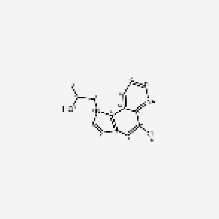 CC(O)Cn1ccc2cc(Cl)c3ncccc3c21